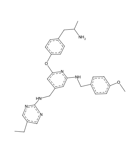 CCc1cnc(NCc2cc(NCc3ccc(OC)cc3)nc(Oc3ccc(CC(C)N)cc3)c2)nc1